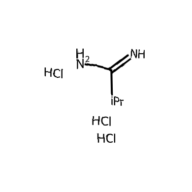 CC(C)C(=N)N.Cl.Cl.Cl